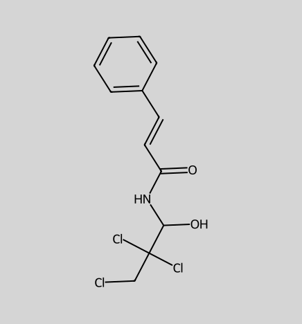 O=C(C=Cc1ccccc1)NC(O)C(Cl)(Cl)CCl